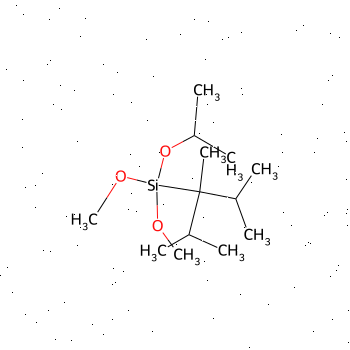 CO[Si](OC)(OC(C)C)C(C)(C(C)C)C(C)C